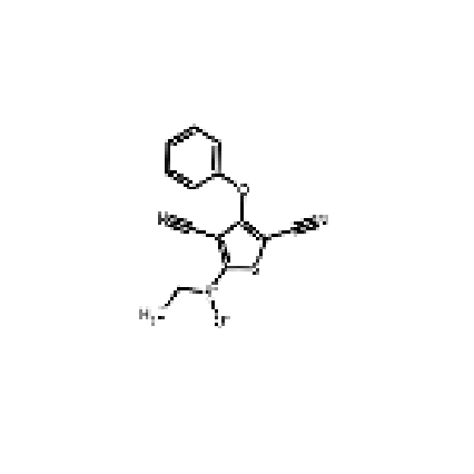 CC[S+]([O-])c1sc(C#N)c(Oc2ccccc2)c1C#N